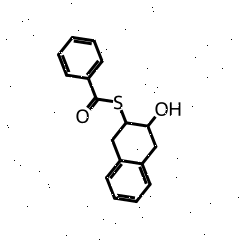 O=C(SC1Cc2ccccc2CC1O)c1ccccc1